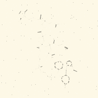 C#CCOC(=O)C(C)(CC(C)(Br)C(=O)Oc1ccc2c(c1)Oc1cc(O)ccc1C21OC(=O)c2ccccc21)CC(C)(CC(C)(C)C(=O)OCC(C)(COC(=O)C(C)(C)C)C(=O)OCCN1C(=O)C=CC1=O)C(=O)OCCOP(=O)(O)OCC[N+](C)(C)C